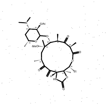 C=C1C(=O)[C@H](C)C[C@](C)(OC)[C@H](OC2O[C@H](C)C[C@H](N(C)C)[C@H]2OC(C)=O)[C@@H](C)C(=O)[C@@H](C)C(=O)O[C@H](CC)[C@@]2(C)OC(=O)N[C@H]12